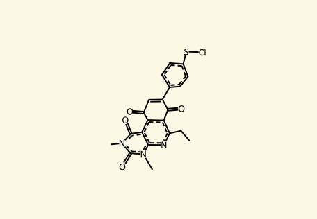 CCc1nc2c(c3c1C(=O)C(c1ccc(SCl)cc1)=CC3=O)c(=O)n(C)c(=O)n2C